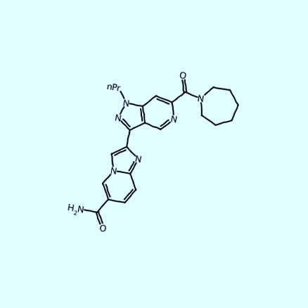 CCCn1nc(-c2cn3cc(C(N)=O)ccc3n2)c2cnc(C(=O)N3CCCCCC3)cc21